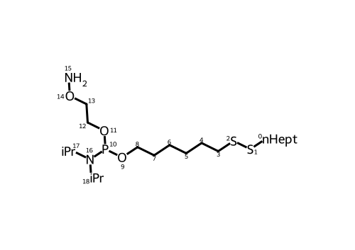 CCCCCCCSSCCCCCCOP(OCCON)N(C(C)C)C(C)C